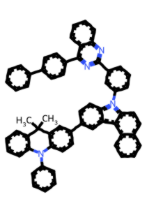 CC1(C)c2ccccc2N(c2ccccc2)c2ccc(-c3ccc4c(c3)c3c5ccccc5ccc3n4-c3cccc(-c4nc(-c5ccc(-c6ccccc6)cc5)c5ccccc5n4)c3)cc21